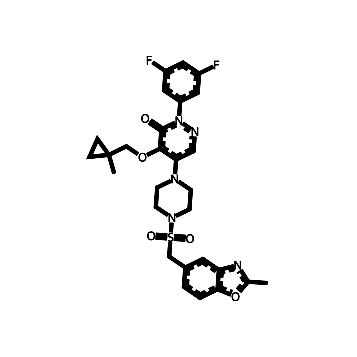 Cc1nc2cc(CS(=O)(=O)N3CCN(c4cnn(-c5cc(F)cc(F)c5)c(=O)c4OCC4(C)CC4)CC3)ccc2o1